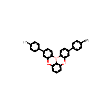 CC(C)c1ccc(-c2ccc3c(c2)Oc2cccc4c2B3c2ccc(-c3ccc(C(C)C)cc3)cc2O4)cc1